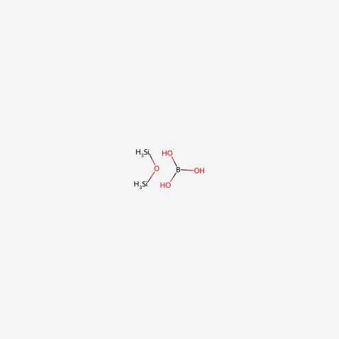 OB(O)O.[SiH3]O[SiH3]